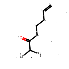 C=CCCCC(=O)C(CC)CC